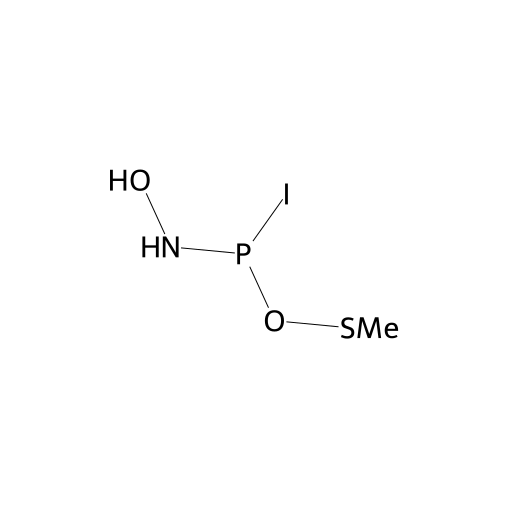 CSOP(I)NO